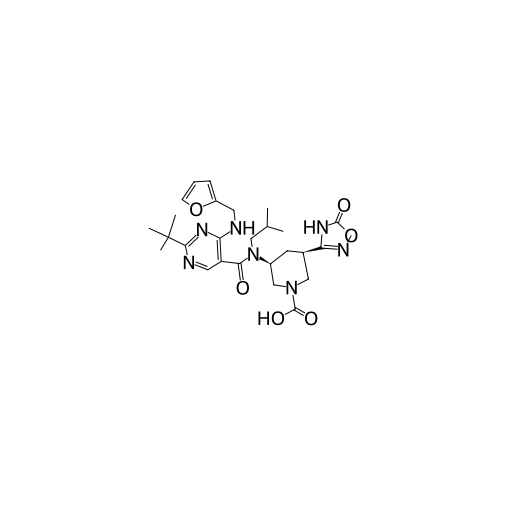 CC(C)CN(C(=O)c1cnc(C(C)(C)C)nc1NCc1ccco1)[C@H]1C[C@@H](c2noc(=O)[nH]2)CN(C(=O)O)C1